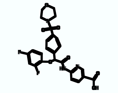 O=C(O)c1ccc(NC(=O)C(Oc2ccc(F)cc2F)c2ccc(S(=O)(=O)N3CCOCC3)cc2)nc1